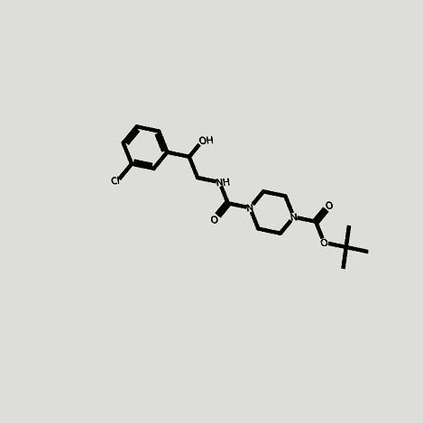 CC(C)(C)OC(=O)N1CCN(C(=O)NCC(O)c2cccc(Cl)c2)CC1